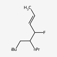 C/C=C/C(F)C(CCC)CC(C)CC